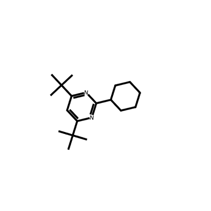 CC(C)(C)c1cc(C(C)(C)C)nc(C2CCCCC2)n1